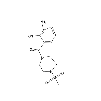 CS(=O)(=O)N1CCN(C(=O)c2cccc(N)c2N=O)CC1